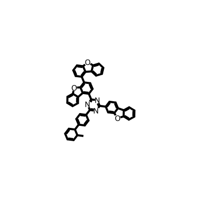 CC1C=CC=CC1c1ccc(-c2nc(-c3ccc4c(c3)oc3ccccc34)nc(-c3ccc(-c4cccc5oc6ccccc6c45)c4oc5ccccc5c34)n2)cc1